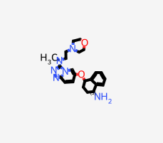 CN(CCN1CCOCC1)c1nnc2ccc(OC3CC[C@H](N)c4ccccc43)cn12